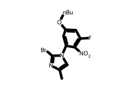 CCCCOc1cc(F)c([N+](=O)[O-])c(-n2cc(C)nc2Br)c1